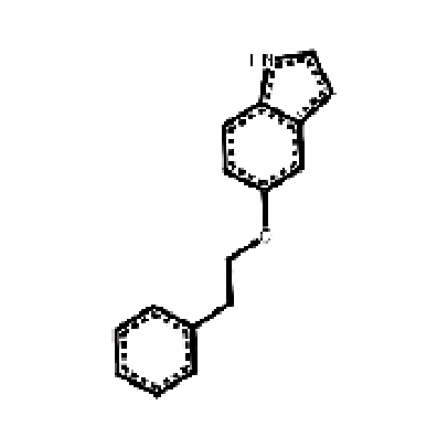 c1ccc(CCOc2ccc3[nH]ccc3c2)cc1